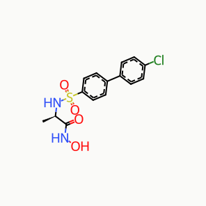 C[C@@H](NS(=O)(=O)c1ccc(-c2ccc(Cl)cc2)cc1)C(=O)NO